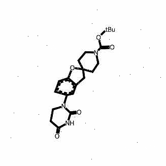 CC(C)(C)OC(=O)N1CCC2(CC1)Cc1cc(N3CCC(=O)NC3=O)ccc1O2